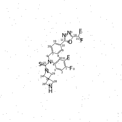 Fc1ccc(N(Cc2ccc(-c3nnc(C(F)F)o3)cc2)C(=S)N2CC3(CNC3)C2)cc1F